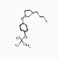 CC(C)(C)Oc1ccc(O[C@H]2CCN(CCCF)C2)cc1